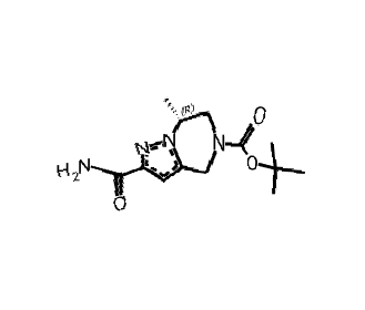 C[C@@H]1CN(C(=O)OC(C)(C)C)Cc2cc(C(N)=O)nn21